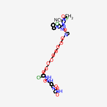 C=C(F)C(=O)N1CCN(c2nc(OC[C@@H]3CCCN3CCOCCOCCOCCOCCOCCOCCOCCOCCOc3cc(Cl)cc(NC(=O)NCc4ccc5c(c4)CN(C4CCC(=O)NC4=O)C5=O)c3)nc3c2CCN(c2cccc4cccc(Cl)c24)C3)C[C@@H]1CC#N